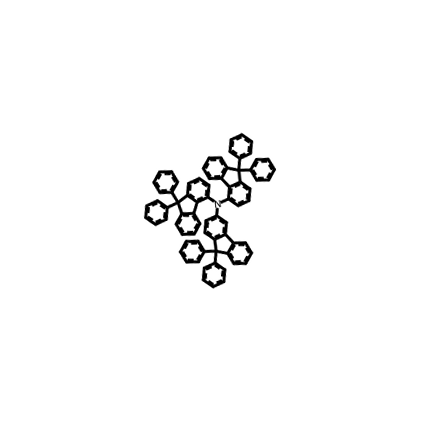 c1ccc(C2(c3ccccc3)c3ccccc3-c3cc(N(c4cccc5c4-c4ccccc4C5(c4ccccc4)c4ccccc4)c4cccc5c4-c4ccccc4C5(c4ccccc4)c4ccccc4)ccc32)cc1